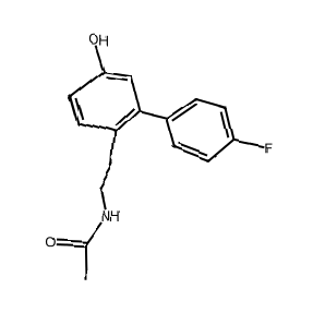 CC(=O)NCCc1ccc(O)cc1-c1ccc(F)cc1